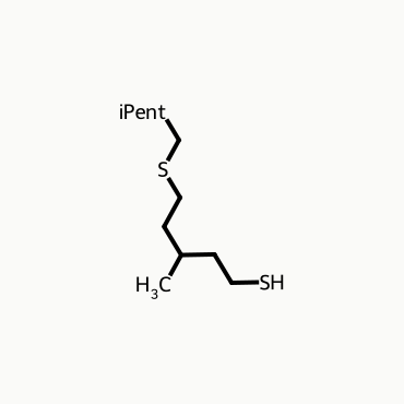 CCCC(C)CSCCC(C)CCS